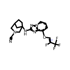 N#CN1CC2CCC(Nc3nc4c(O/C=C(\F)C(F)(F)F)cccn4n3)(C2)C1